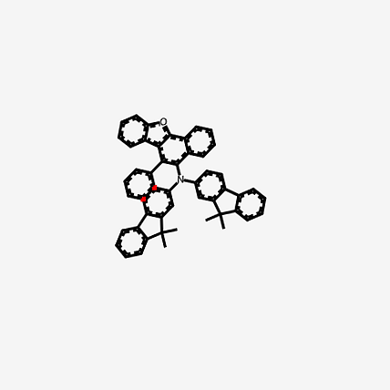 CC1(C)c2ccccc2-c2ccc(N(c3ccc4c(c3)C(C)(C)c3ccccc3-4)c3c(-c4ccccc4)c4c5ccccc5oc4c4ccccc34)cc21